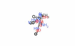 CC(C)(O)c1cnnn1[C@H]1C[C@@H](C(=O)NC(CCCCNC(=O)OCc2ccccc2)C(=O)C(N)=O)N(C(=O)[C@@H](CC2CCCCC2)NC(=O)c2ccc3ccncc3c2)C1